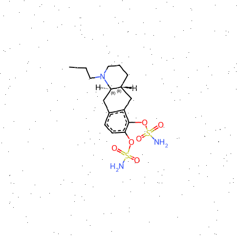 CCCN1CCC[C@@H]2Cc3c(ccc(OS(N)(=O)=O)c3OS(N)(=O)=O)C[C@H]21